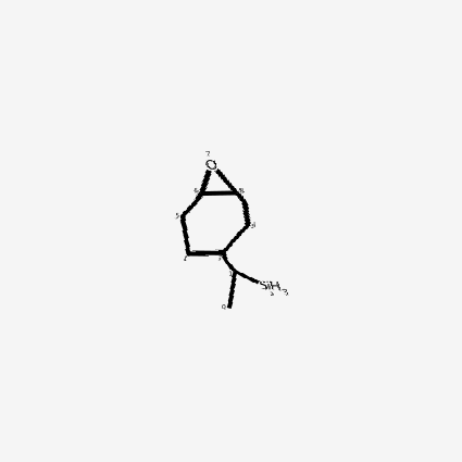 CC([SiH3])C1CCC2OC2C1